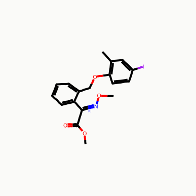 CO/N=C(/C(=O)OC)c1ccccc1COc1ccc(I)cc1C